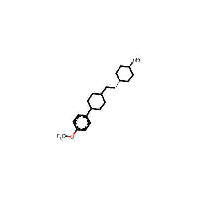 CCC[C@H]1CC[C@H](CCC2CCC(c3ccc(OC(F)(F)F)cc3)CC2)CC1